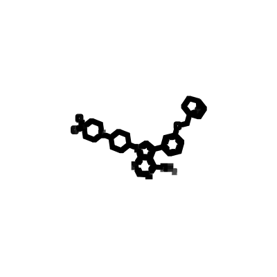 Nc1ncnc2c1c(-c1cccc(OCC34CCC(CC3)O4)c1)cn2C1CCC(N2CCS(=O)(=O)CC2)CC1